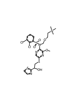 COc1nc(SCC(O)c2nccs2)cnc1N(COCC[Si](C)(C)C)S(=O)(=O)c1cccc(Cl)c1Cl